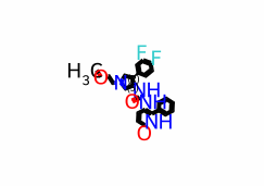 COCCN1C[C@@H](NC(=O)Nc2ccc(=O)[nH]c2-c2ccccc2)[C@H](c2ccc(F)c(F)c2)C1